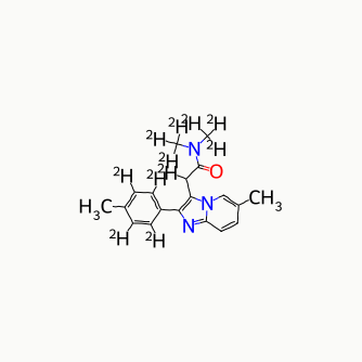 [2H]c1c([2H])c(-c2nc3ccc(C)cn3c2C([2H])C(=O)N(C([2H])([2H])[2H])C([2H])([2H])[2H])c([2H])c([2H])c1C